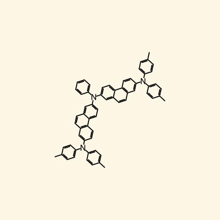 Cc1ccc(N(c2ccc(C)cc2)c2ccc3c(ccc4cc(N(c5ccccc5)c5ccc6c(ccc7cc(N(c8ccc(C)cc8)c8ccc(C)cc8)ccc76)c5)ccc43)c2)cc1